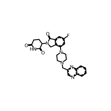 O=C1CCC(N2Cc3c(cc(F)cc3N3CCN(Cc4cnc5ccccc5n4)CC3)C2=O)C(=O)N1